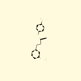 Cc1cccc(CCC(=O)Oc2ccc([N+](=O)[O-])cc2)c1